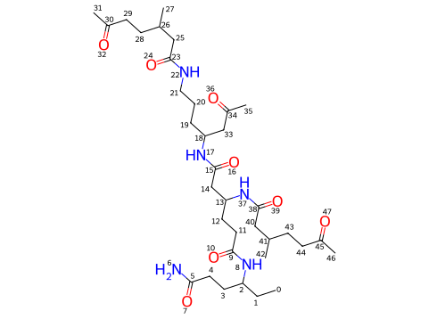 CCC(CCC(N)=O)NC(=O)CCC(CC(=O)NC(CCCNC(=O)CC(C)CCC(C)=O)CC(C)=O)NC(=O)CC(C)CCC(C)=O